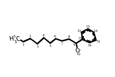 CCCCCCCCCC([O])c1ccccc1